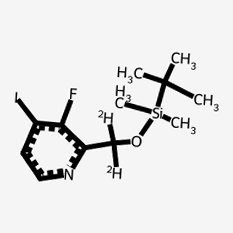 [2H]C([2H])(O[Si](C)(C)C(C)(C)C)c1nccc(I)c1F